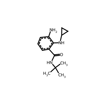 CC(C)(C)NC(=O)c1cccc(N)c1NC1CC1